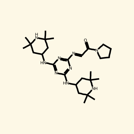 CC1(C)CC(Nc2nc(N=CC(=O)N3CCCC3)nc(NC3CC(C)(C)NC(C)(C)C3)n2)CC(C)(C)N1